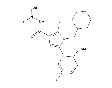 CCCCN(CC)NC(=O)c1cc(-c2cc(F)ccc2OC)n(CC2CCCCC2)c1C